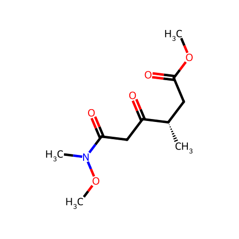 COC(=O)C[C@H](C)C(=O)CC(=O)N(C)OC